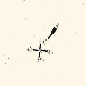 C[N+](C)(C)C.N#CO